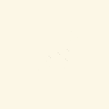 Cc1ccc(CC(=O)Nc2cc(Cl)nc(N(Cc3ccccc3)CC3CC3)n2)cc1